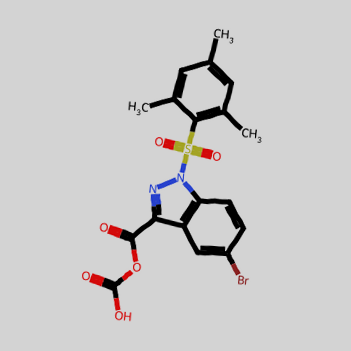 Cc1cc(C)c(S(=O)(=O)n2nc(C(=O)OC(=O)O)c3cc(Br)ccc32)c(C)c1